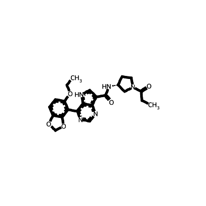 CCOc1ccc2c(c1-c1ncnc3c(C(=O)N[C@@H]4CCN(C(=O)CC)C4)c[nH]c13)OCO2